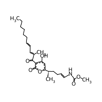 CCCCCC/C=C/C=C(\C)C(=O)c1c(O)cc([C@H](C)CC/C=C/NC(=O)OC)oc1=O